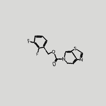 O=C(OCc1cccc(F)c1F)N1C=c2scnc2=CC1